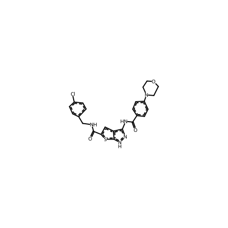 O=C(Nc1n[nH]c2sc(C(=O)NCc3ccc(Cl)cc3)cc12)c1ccc(N2CCOCC2)cc1